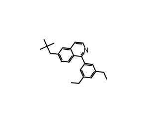 CCc1cc(CC)cc(-c2nccc3cc(CC(C)(C)C)ccc23)c1